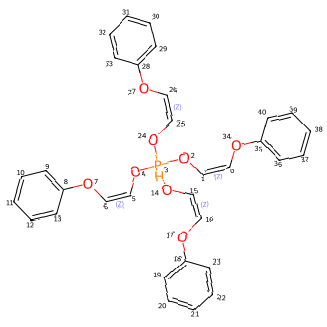 C(=C/O[PH](O/C=C\Oc1ccccc1)(O/C=C\Oc1ccccc1)O/C=C\Oc1ccccc1)/Oc1ccccc1